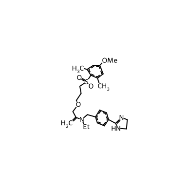 C=C(COCCCS(=O)(=O)c1c(C)cc(OC)cc1C)N(CC)Cc1ccc(C2=NCCN2)cc1